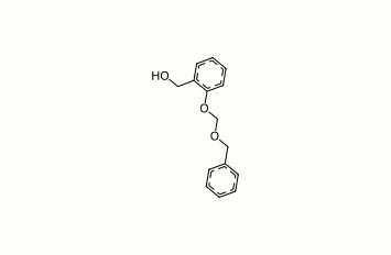 OCc1ccccc1OCOCc1ccccc1